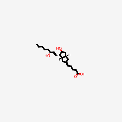 CCCCC[C@@H](O)/C=C/[C@H]1C(O)C[C@@H]2C/C(=C\CCCC(=O)O)C[C@@H]21